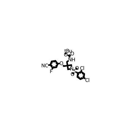 CC(C)(C)OC(=O)NCC1(COc2ccc(C#N)c(F)c2)CN(S(=O)(=O)c2ccc(Cl)cc2Cl)C1